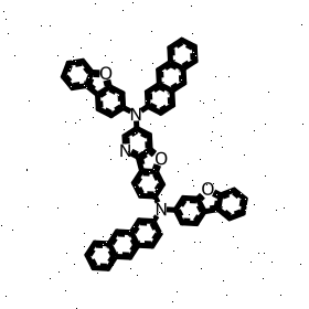 c1ccc2cc3cc(N(c4ccc5c(c4)oc4ccccc45)c4ccc5c(c4)oc4cc(N(c6ccc7cc8ccccc8cc7c6)c6ccc7c(c6)oc6ccccc67)cnc45)ccc3cc2c1